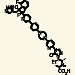 CC[C@@H]([C@H](C)N(C)C(C)C(=O)O)n1ncn(-c2ccc(N3CCN(c4ccc(-c5ccc(C(F)(F)[C@](O)(Cn6cnnn6)c6ccccc6F)nc5)cc4)CC3)cn2)c1=O